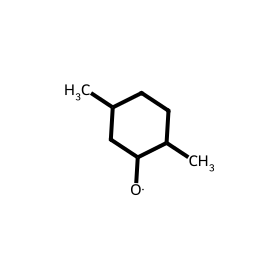 CC1CCC(C)C([O])C1